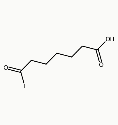 O=C(O)CCCCCC(=O)I